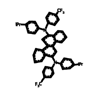 CC(C)c1ccc(N(c2ccc(C(F)(F)F)cc2)c2cc3c4ccccc4c(N(c4ccc(C(C)C)cc4)c4ccc(C(F)(F)F)cc4)cc3c3ccccc23)cc1